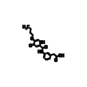 CCCCOc1c[nH]c(C(=O)Nc2cccc(CC(=O)O)c2)cc1=O